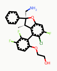 C[C@H]1c2c(cc(F)c(Cl)c2-c2c(OCCO)ccc(F)c2F)O[C@]1(CN)c1ccccc1